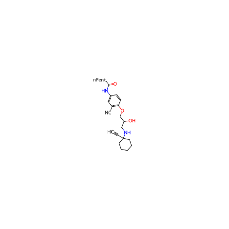 C#CC1(NCC(O)COc2ccc(NC(=O)CCCCC)cc2C#N)CCCCC1